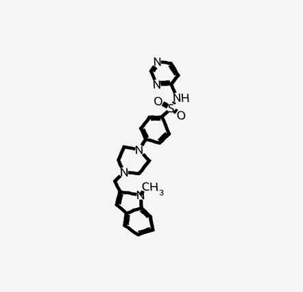 Cn1c(CN2CCN(c3ccc(S(=O)(=O)Nc4ccncn4)cc3)CC2)cc2ccccc21